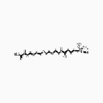 CCO[Si](C)(CCCCC(=O)NCCOCCOCCOCCNC(=O)C(C)(C)C)OCC